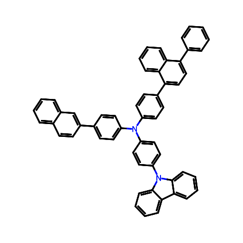 c1ccc(-c2ccc(-c3ccc(N(c4ccc(-c5ccc6ccccc6c5)cc4)c4ccc(-n5c6ccccc6c6ccccc65)cc4)cc3)c3ccccc23)cc1